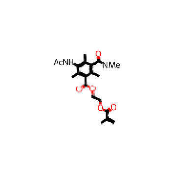 C=C(C)C(=O)OCCOC(=O)c1c(C)c(NC(C)=O)c(C)c(C(=O)NC)c1C